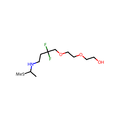 CSC(C)NCCC(F)(F)COCCOCCO